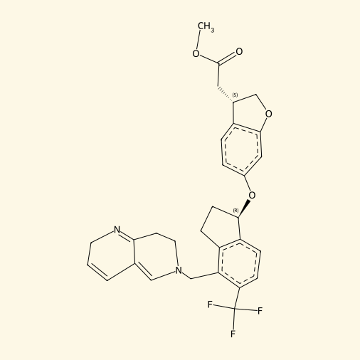 COC(=O)C[C@@H]1COc2cc(O[C@@H]3CCc4c3ccc(C(F)(F)F)c4CN3C=C4C=CCN=C4CC3)ccc21